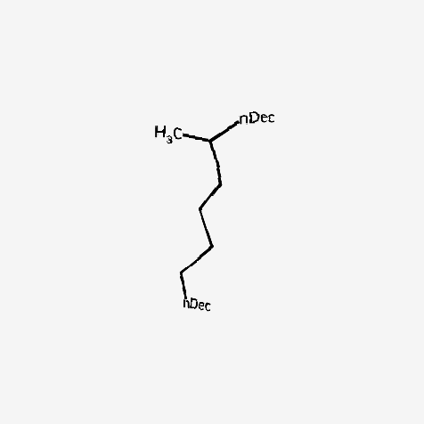 CCCCCCCCCCCCCCC(C)CCCCCCCCCC